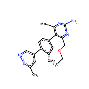 CNc1nc(N)nc(COCC(F)(F)F)c1-c1ccc(-c2cnnc(C)c2)c(OC)c1